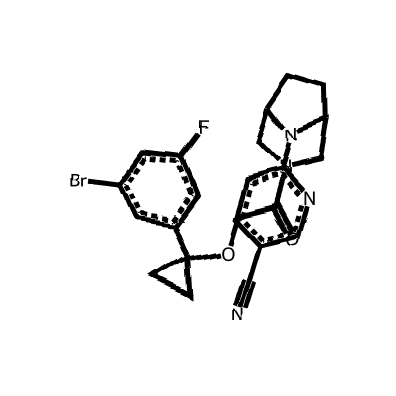 N#Cc1ccc(N2C3CCC2CN(C(=O)COC2(c4cc(F)cc(Br)c4)CC2)C3)nc1